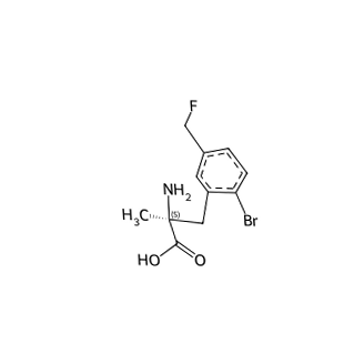 C[C@](N)(Cc1cc(CF)ccc1Br)C(=O)O